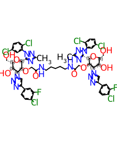 Cc1nc([C@H]2O[C@@H](CO)[C@@H](O)[C@@H](n3cc(-c4ccc(Cl)c(F)c4)nn3)[C@@H]2OCC(=O)NCCCCCNC(=O)CO[C@@H]2[C@@H](n3cc(-c4ccc(Cl)c(F)c4)nn3)[C@@H](O)[C@@H](CO)O[C@H]2c2nc(C)nn2-c2cc(Cl)ccc2Cl)n(-c2cc(Cl)ccc2Cl)n1